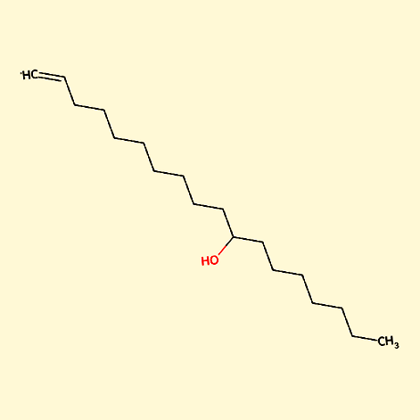 [CH]=CCCCCCCCCC(O)CCCCCCC